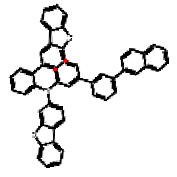 c1cc(-c2cccc(N(c3ccc4c(c3)oc3ccccc34)c3ccccc3-c3ccc4sc5ccccc5c4c3)c2)cc(-c2ccc3ccccc3c2)c1